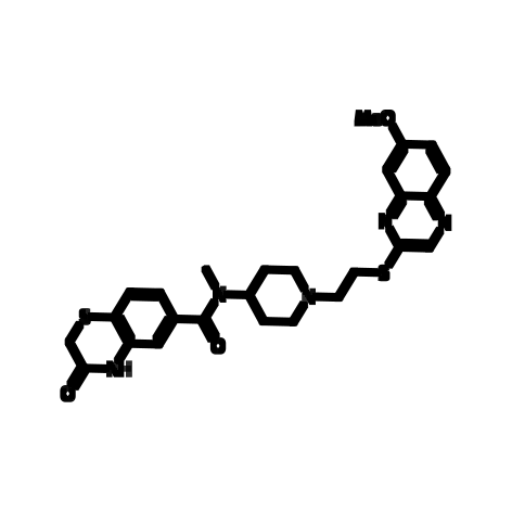 COc1ccc2ncc(SCCN3CCC(N(C)C(=O)c4ccc5c(c4)NC(=O)CS5)CC3)nc2c1